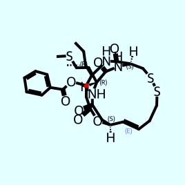 CC[C@@H](C)C1NC(=O)[C@H]2CSSCC/C=C/[C@H](CC(=O)N[C@H](CCSC)C(=O)N2)OC(=O)CC1OC(=O)c1ccccc1